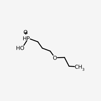 CCCOCCC[PH](=O)O